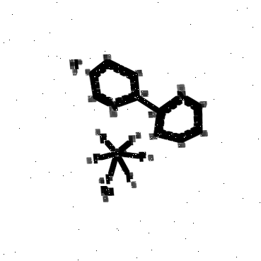 F[P-](F)(F)(F)(F)F.[H+].[Ru].c1ccc(-c2ccccn2)nc1